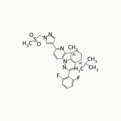 CC(C)(C)[C@H]1CC[C@](C)(c2cccc(-c3cnn(CS(C)(=O)=O)c3)n2)c2nnc(-c3c(F)cccc3F)cc21